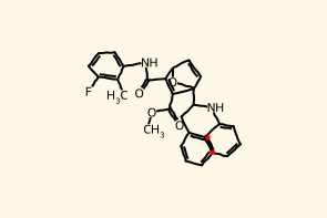 COC(=O)C1=C(C(=O)Nc2cccc(F)c2C)C2C=CC1(C(Cc1ccccc1)Nc1ccccc1)O2